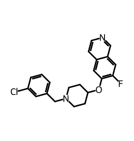 Fc1cc2cnccc2cc1OC1CCN(Cc2cccc(Cl)c2)CC1